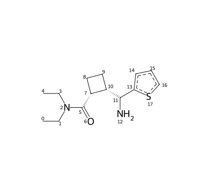 CCN(CC)C(=O)[C@@H]1CC[C@@H]1C(N)c1cccs1